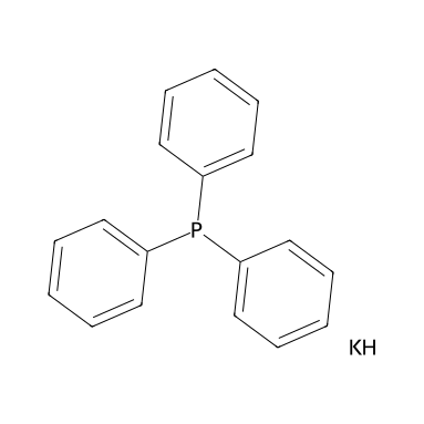 [KH].c1ccc(P(c2ccccc2)c2ccccc2)cc1